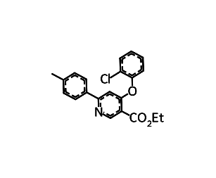 CCOC(=O)c1cnc(-c2ccc(C)cc2)cc1Oc1ccccc1Cl